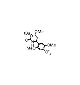 COCCC(NC(=O)OC(C)(C)C)c1cc(OC)c(C(F)(F)F)cc1OC